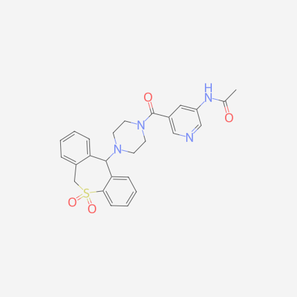 CC(=O)Nc1cncc(C(=O)N2CCN(C3c4ccccc4CS(=O)(=O)c4ccccc43)CC2)c1